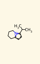 CC(C)c1ccc2n1CCCC2